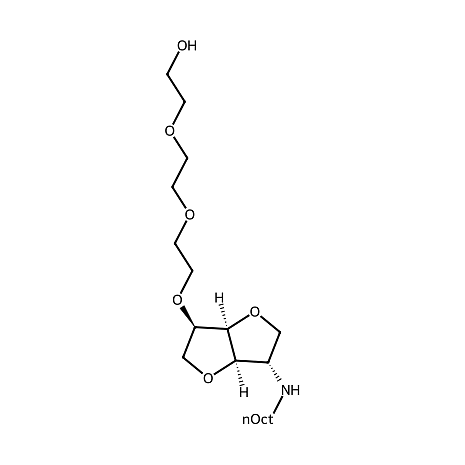 CCCCCCCCN[C@H]1CO[C@H]2[C@@H]1OC[C@H]2OCCOCCOCCO